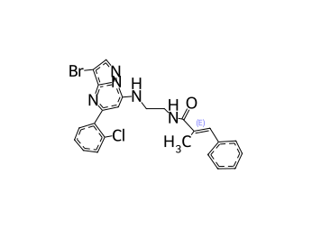 C/C(=C\c1ccccc1)C(=O)NCCNc1cc(-c2ccccc2Cl)nc2c(Br)cnn12